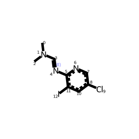 CN(C)/C=N/c1ncc(Cl)cc1I